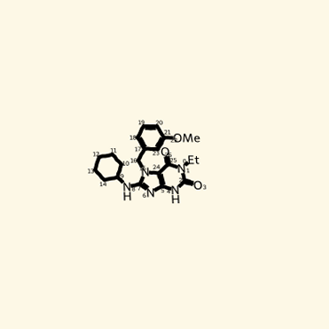 CCn1c(=O)[nH]c2nc(NC3CCCCC3)n(Cc3cccc(OC)c3)c2c1=O